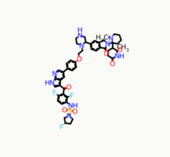 CC1CCCN(C)C1(C1CCC(=O)NC1=O)N1Cc2cc(C3CNCCN3CCOc3ccc(-c4cnc5[nH]cc(C(=O)c6c(F)ccc(NS(=O)(=O)N7CC[C@@H](F)C7)c6F)c5c4)cc3)ccc2C1=O